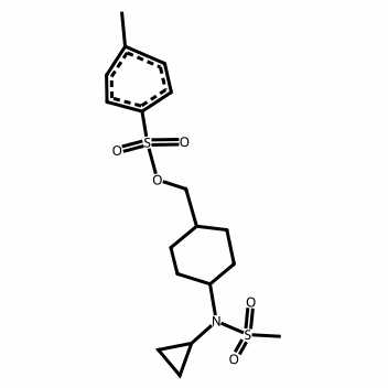 Cc1ccc(S(=O)(=O)OCC2CCC(N(C3CC3)S(C)(=O)=O)CC2)cc1